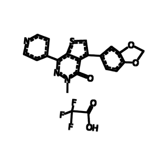 Cn1nc(-c2ccncc2)c2scc(-c3ccc4c(c3)OCO4)c2c1=O.O=C(O)C(F)(F)F